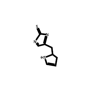 S=C1N=CC(CC2CC=C[SH]2)=N1